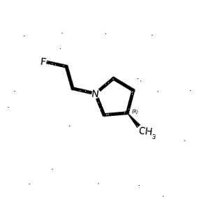 C[C@@H]1CCN(CCF)C1